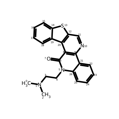 CN(C)CCn1c(=O)c2c(ncc3sc4ccccc4c32)c2ccccc21